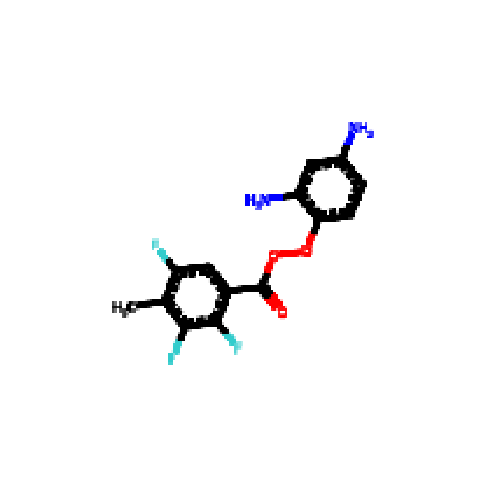 Cc1c(F)cc(C(=O)OOc2ccc(N)cc2N)c(F)c1F